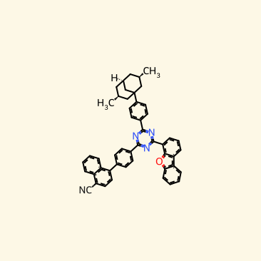 C[C@@H]1C[C@@H]2C[C@H](C)CC(c3ccc(-c4nc(-c5ccc(-c6ccc(C#N)c7ccccc67)cc5)nc(-c5cccc6c5oc5ccccc56)n4)cc3)(C1)C2